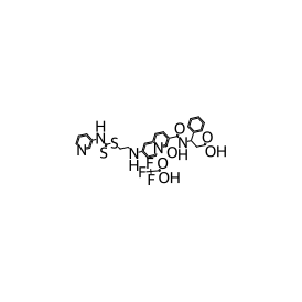 O=C(O)C(F)(F)F.O=C(O)CC(NC(=O)c1ccc2cc(NCCSC(=S)Nc3cccnc3)ccn2c1=O)c1ccccc1